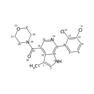 Cc1c[nH]c2c(-c3cccc(Cl)c3Cl)ncc(C(=O)N3CCOCC3)c12